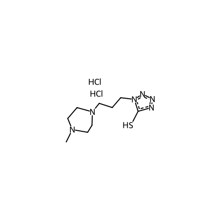 CN1CCN(CCCn2nnnc2S)CC1.Cl.Cl